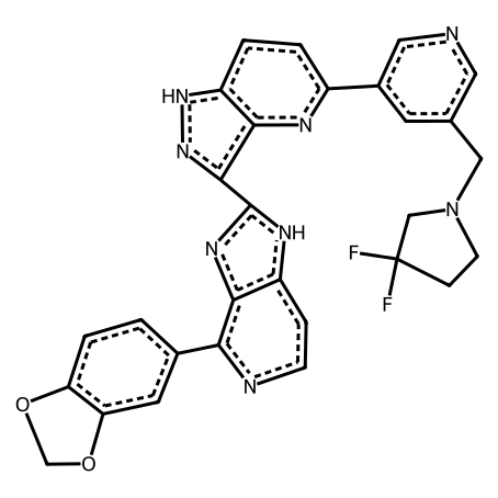 FC1(F)CCN(Cc2cncc(-c3ccc4[nH]nc(-c5nc6c(-c7ccc8c(c7)OCO8)nccc6[nH]5)c4n3)c2)C1